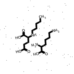 CCCCCNC(CCC(=O)O)C(=O)O.NCCCCC(N)C(=O)O